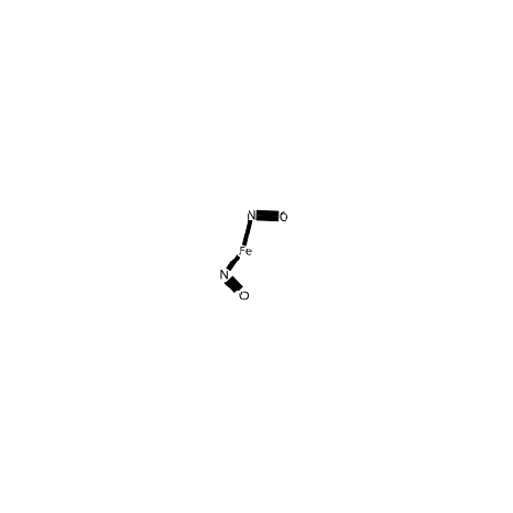 O=[N][Fe][N]=O